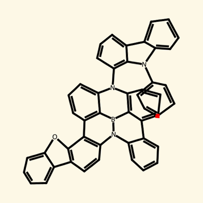 c1ccc(-n2c3ccccc3c3cccc(N4c5cccc6c5B5c7c(cccc74)-c4c(ccc7c4oc4ccccc47)N5c4ccccc4-6)c32)cc1